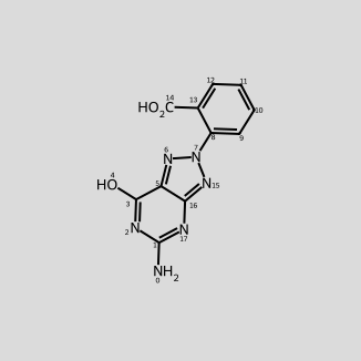 Nc1nc(O)c2nn(-c3ccccc3C(=O)O)nc2n1